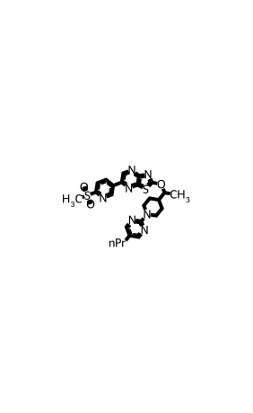 CCCc1cnc(N2CCC(C(C)Oc3nc4ncc(-c5ccc(S(C)(=O)=O)nc5)nc4s3)CC2)nc1